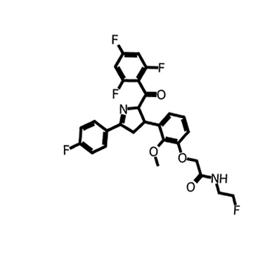 COc1c(OCC(=O)NCCF)cccc1C1CC(c2ccc(F)cc2)=NC1C(=O)c1c(F)cc(F)cc1F